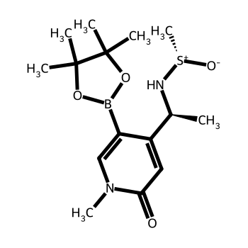 C[C@H](N[S@+](C)[O-])c1cc(=O)n(C)cc1B1OC(C)(C)C(C)(C)O1